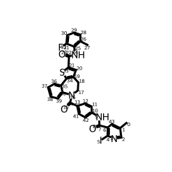 Cc1cnc(I)c(C(=O)Nc2ccc(C(=O)N3CCc4cc(C(=O)Nc5c(C)cccc5F)sc4-c4ccccc43)cc2)c1